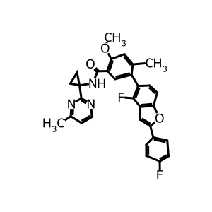 COc1cc(C)c(-c2ccc3oc(-c4ccc(F)cc4)cc3c2F)cc1C(=O)NC1(c2nccc(C)n2)CC1